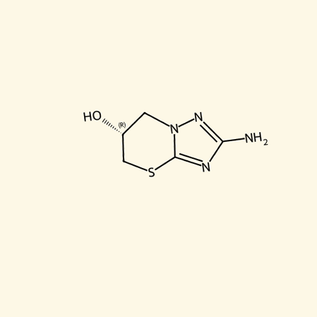 Nc1nc2n(n1)C[C@@H](O)CS2